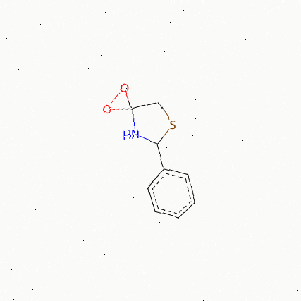 c1ccc(C2NC3(CS2)OO3)cc1